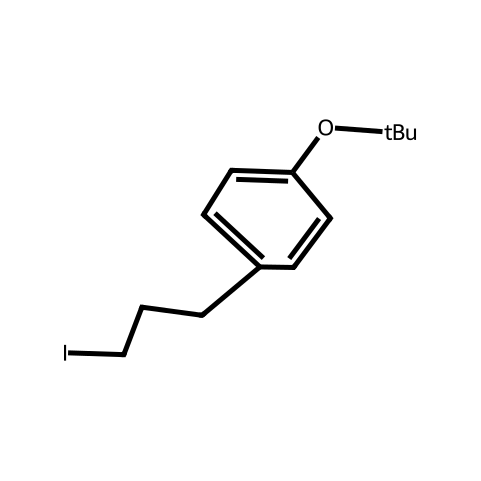 CC(C)(C)Oc1ccc(CCCI)cc1